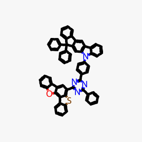 c1ccc(-c2nc(-c3ccc(-n4c5ccccc5c5cc6c(cc54)C(c4ccccc4)(c4ccccc4)c4ccccc4-6)cc3)nc(-c3cc4c5ccccc5oc4c4c3sc3ccccc34)n2)cc1